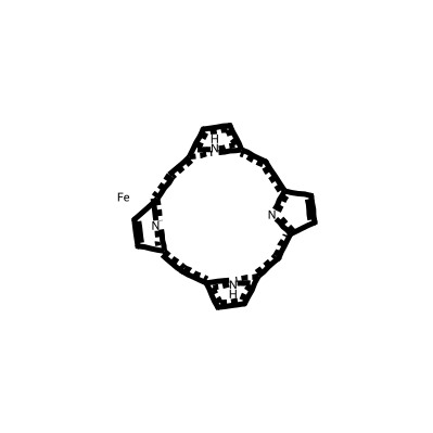 C1=Cc2cc3ccc(cc4nc(cc5ccc(cc1n2)[nH]5)C=C4)[nH]3.[Fe]